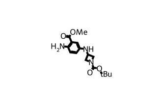 COC(=O)c1cc(NC2CN(C(=O)OC(C)(C)C)C2)ccc1N